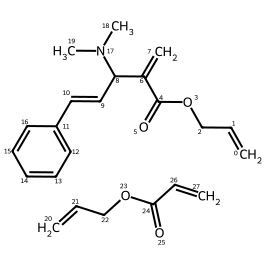 C=CCOC(=O)C(=C)C(C=Cc1ccccc1)N(C)C.C=CCOC(=O)C=C